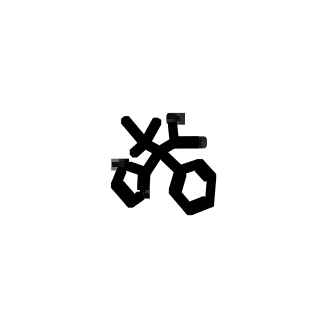 CC(C)(C)C(C(=O)O)(c1ccccc1)c1ncc[nH]1